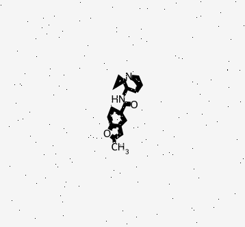 Cc1cc2cc(C(=O)NC3C4CCN(CC4)C34CC4)ccc2o1